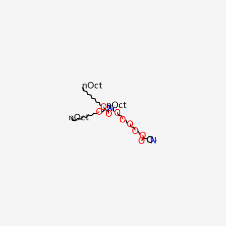 CCCCCCCC/C=C\CCCCCCCCOCC(OCCCCCCCC/C=C\CCCCCCCC)C(=O)N(CCCCCCCC)CCOCCOCCOCCOCCOC(=O)C1CCN(C)CC1